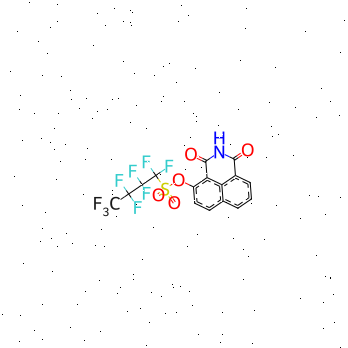 O=C1NC(=O)c2c(OS(=O)(=O)C(F)(F)C(F)(F)C(F)(F)C(F)(F)F)ccc3cccc1c23